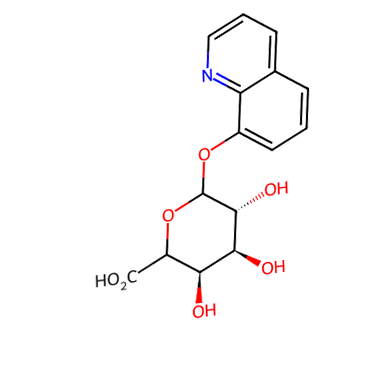 O=C(O)C1OC(Oc2cccc3cccnc23)[C@H](O)[C@@H](O)[C@H]1O